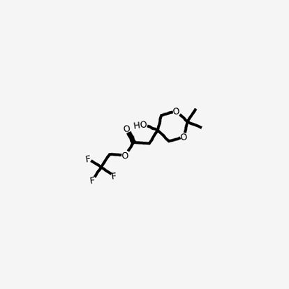 CC1(C)OCC(O)(CC(=O)OCC(F)(F)F)CO1